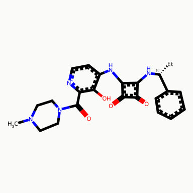 CC[C@@H](Nc1c(Nc2ccnc(C(=O)N3CCN(C)CC3)c2O)c(=O)c1=O)c1ccccc1